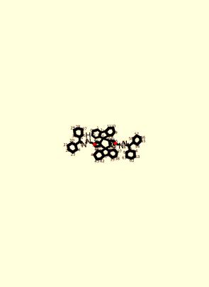 C1=CC2=C(CC1)C1(c3ccccc32)c2cc(NN=C(c3ccccc3)c3ccccc3)ccc2C2(c3ccccc3-c3ccccc32)c2cc(NN=C(c3ccccc3)c3ccccc3)ccc21